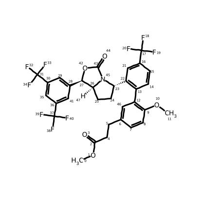 COC(=O)CCc1ccc(OC)c(-c2ccc(C(F)(F)F)cc2[C@@H]2CC[C@H]3[C@@H](c4cc(C(F)(F)F)cc(C(F)(F)F)c4)OC(=O)N23)c1